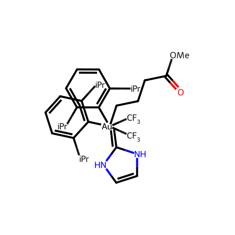 COC(=O)CC[CH2][Au]([c]1c(C(C)C)cccc1C(C)C)([c]1c(C(C)C)cccc1C(C)C)(=[c]1[nH]cc[nH]1)([C](F)(F)F)[C](F)(F)F